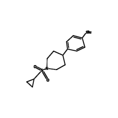 CC(C)(C)c1ccc(C2CCN(S(=O)(=O)C3CC3)CC2)cc1